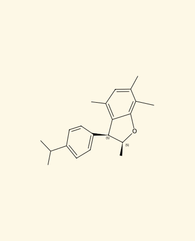 Cc1cc(C)c2c(c1C)O[C@@H](C)[C@H]2c1ccc(C(C)C)cc1